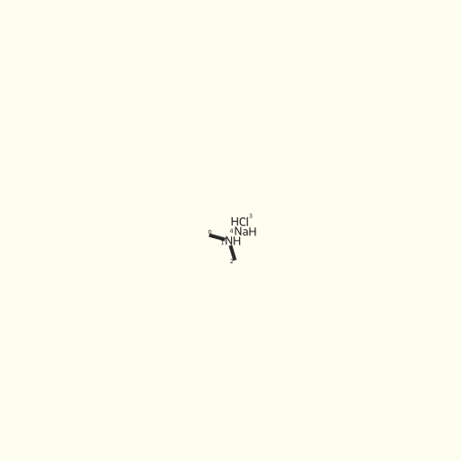 CNC.Cl.[NaH]